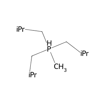 CC(C)C[PH](C)(CC(C)C)CC(C)C